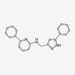 c1ccc(-c2cccc(NCc3cc(-c4ccccc4)[nH]n3)n2)cc1